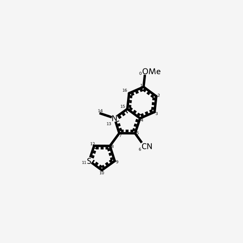 COc1ccc2c(C#N)c(-c3ccsc3)n(C)c2c1